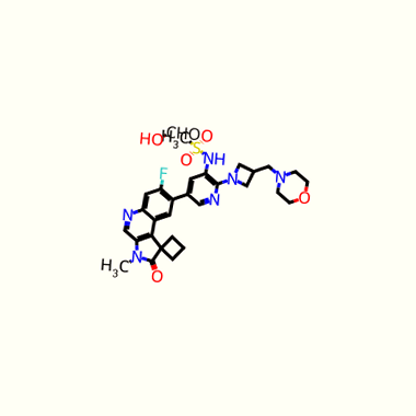 CN1C(=O)C2(CCC2)c2c1cnc1cc(F)c(-c3cnc(N4CC(CN5CCOCC5)C4)c(NS(C)(=O)=O)c3)cc21.O=CO